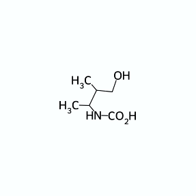 CC(CO)C(C)NC(=O)O